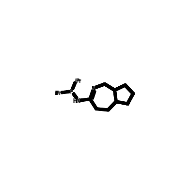 CC(C)P(NC1=NCC2CCCC2CC1)C(C)C